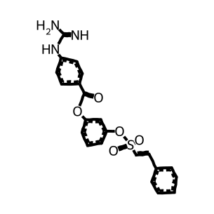 N=C(N)Nc1ccc(C(=O)Oc2cccc(OS(=O)(=O)/C=C/c3ccccc3)c2)cc1